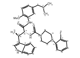 COc1ccc(CN(C)C)cc1NC(=O)[C@H](NC(=O)N1CCN(c2ccccc2F)CC1)[C@H](C)c1c[nH]c2ccccc12